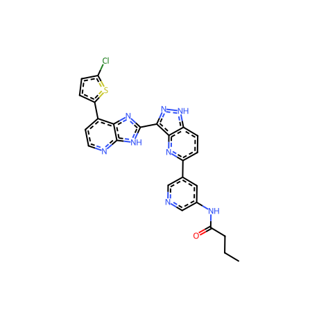 CCCC(=O)Nc1cncc(-c2ccc3[nH]nc(-c4nc5c(-c6ccc(Cl)s6)ccnc5[nH]4)c3n2)c1